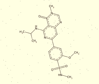 CNS(=O)(=O)c1ccc(-c2cc3ncn(C)c(=O)c3c(NC(C)C)n2)cc1OC